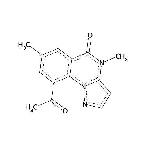 CC(=O)c1cc(C)cc2c(=O)n(C)c3ccnn3c12